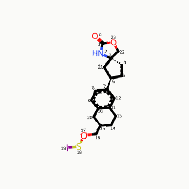 O=C1N[C@@]2(CC[C@@H](c3ccc4c(c3)CCC(COSI)C4)C2)CO1